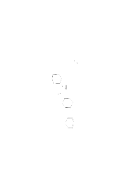 CCCN(CCC)CCOc1cc(NC(=O)c2ccc(Oc3ccccc3)cc2)ccc1OC